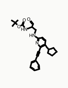 CC(C)(C)OC(=O)NC(C=O)CNc1ccc(C2CCCC2)c(C#Cc2ccccc2)n1